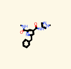 CNC(=O)c1cc(C(=O)Nc2cnn(C)c2)cc(Cc2ccccc2)n1